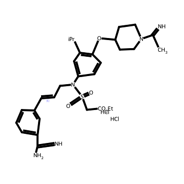 CCOC(=O)CS(=O)(=O)N(C/C=C/c1cccc(C(=N)N)c1)c1ccc(OC2CCN(C(C)=N)CC2)c(C(C)C)c1.Cl.Cl